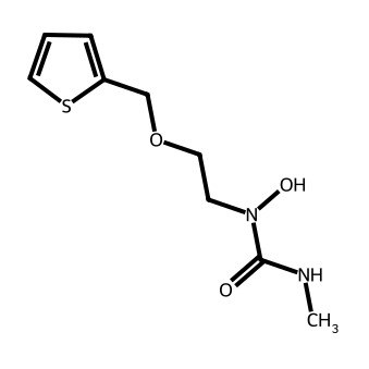 CNC(=O)N(O)CCOCc1cccs1